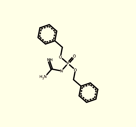 N=C(N)[N]P(=O)(OCc1ccccc1)OCc1ccccc1